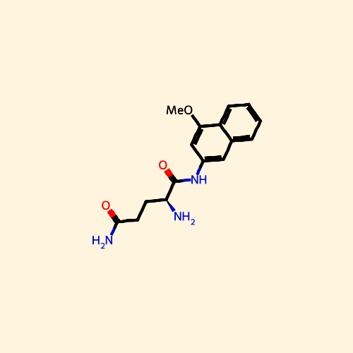 COc1cc(NC(=O)[C@@H](N)CCC(N)=O)cc2ccccc12